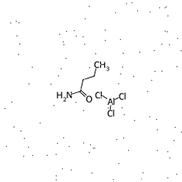 CCCC(N)=O.[Cl][Al]([Cl])[Cl]